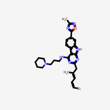 CC/C=C\C=C(/C)Cc1nc(NCCCN2CCCCC2)c2c(n1)[nH]c1cc(-c3nc(C)no3)ccc12